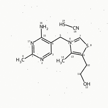 Cc1ncc(C[n+]2csc(CCO)c2C)c(N)n1.N#CS